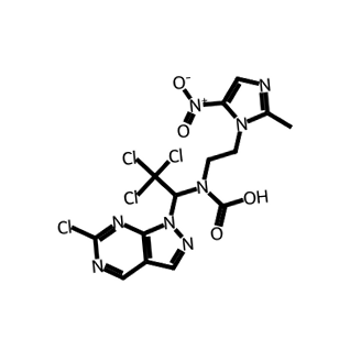 Cc1ncc([N+](=O)[O-])n1CCN(C(=O)O)C(n1ncc2cnc(Cl)nc21)C(Cl)(Cl)Cl